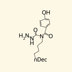 CCCCCCCCCCCCCCN(C(=O)NN)C(=O)c1ccc(O)cc1